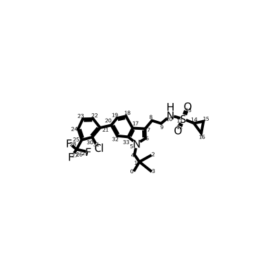 CC(C)(C)Cn1cc(CCNS(=O)(=O)C2CC2)c2ccc(-c3cccc(C(F)(F)F)c3Cl)cc21